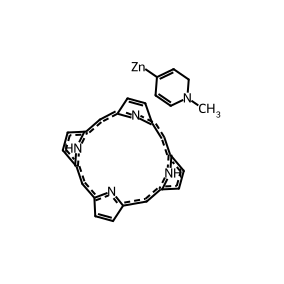 C1=Cc2cc3ccc(cc4nc(cc5ccc(cc1n2)[nH]5)C=C4)[nH]3.CN1C=C[C]([Zn])=CC1